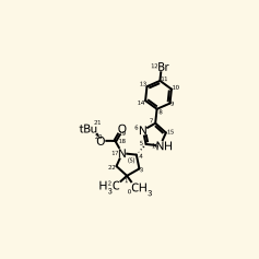 CC1(C)C[C@@H](c2nc(-c3ccc(Br)cc3)c[nH]2)N(C(=O)OC(C)(C)C)C1